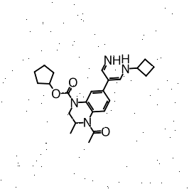 CC(=O)N1c2ccc(/C(C=N)=C/NC3CCC3)cc2N(C(=O)OC2CCCC2)CC1C